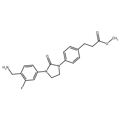 COC(=O)CCc1ccc(N2CCN(c3ccc(CN)c(F)c3)C2=O)cc1